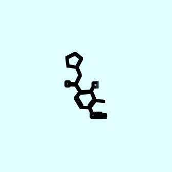 COc1ccc(C(=O)CC2CCCC2)c(Cl)c1C